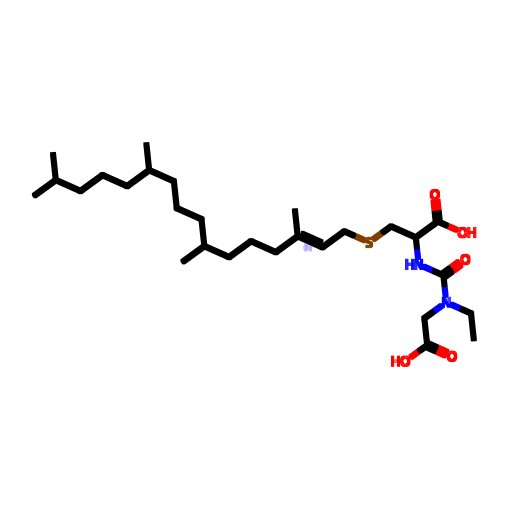 CCN(CC(=O)O)C(=O)NC(CSC/C=C(\C)CCCC(C)CCCC(C)CCCC(C)C)C(=O)O